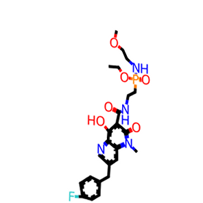 CCOP(=O)(CCNC(=O)c1c(O)c2ncc(Cc3ccc(F)cc3)cc2n(C)c1=O)NCCOC